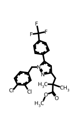 COC(=O)C(C)(C)Cc1cc(-c2ccc(C(F)(F)F)cc2)n(Cc2ccc(Cl)c(Cl)c2)n1